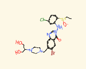 CC[S+]([O-])c1ccc(Cl)cc1Nn1cnc2cc(CN3CCN(C(CO)CO)CC3)c(Br)cc2c1=O